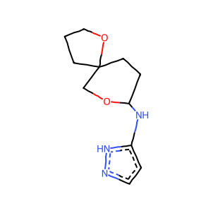 c1cc(NC2CCC3(CCCO3)CO2)[nH]n1